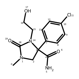 CN1CC(C(N)=O)(c2ccc(Cl)cc2)N(CCO)C1=O